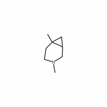 CN1CCC2(C)CC2C1